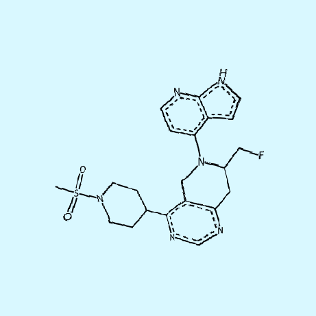 CS(=O)(=O)N1CCC(c2ncnc3c2CN(c2ccnc4[nH]ccc24)C(CF)C3)CC1